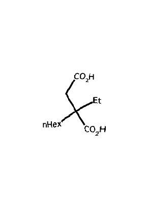 CCCCCCC(CC)(CC(=O)O)C(=O)O